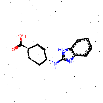 O=C(O)[C@H]1CC[C@H](Nc2nc3ccccc3[nH]2)CC1